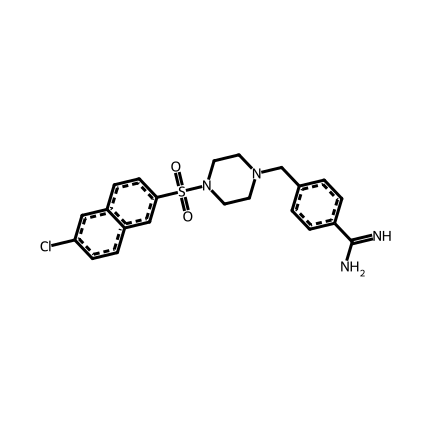 N=C(N)c1ccc(CN2CCN(S(=O)(=O)c3ccc4cc(Cl)ccc4c3)CC2)cc1